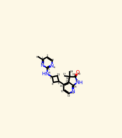 Cc1ccnc(NC2CC(c3ccnc4c3C(C)(C)C(=O)N4)C2)n1